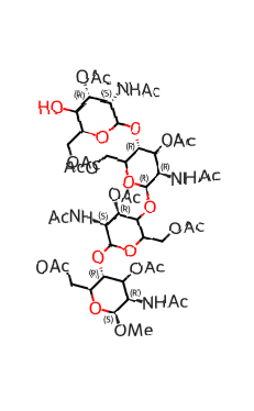 CO[C@H]1OC(COC(C)=O)[C@H](OC2OC(COC(C)=O)C(O[C@H]3OC(COC(C)=O)[C@H](OC4OC(COC(C)=O)C(O)[C@H](OC(C)=O)[C@@H]4NC(C)=O)C(OC(C)=O)[C@H]3NC(C)=O)[C@H](OC(C)=O)[C@@H]2NC(C)=O)C(OC(C)=O)[C@H]1NC(C)=O